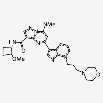 CNc1cc(-c2cnc3n(CCCN4CCOCC4)cccc2-3)nc2c(C(=O)N[C@H]3CC[C@@H]3OC)cnn12